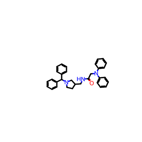 O=C(CN(c1ccccc1)c1ccccc1)NCC1CCN(C(c2ccccc2)c2ccccc2)C1